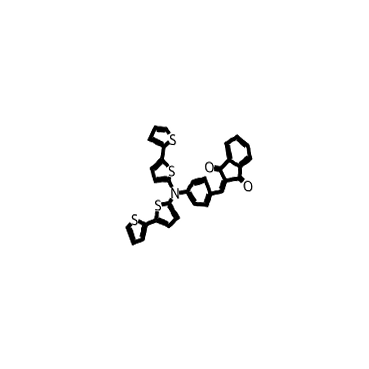 O=C1C(=Cc2ccc(N(c3ccc(-c4cccs4)s3)c3ccc(-c4cccs4)s3)cc2)C(=O)c2ccccc21